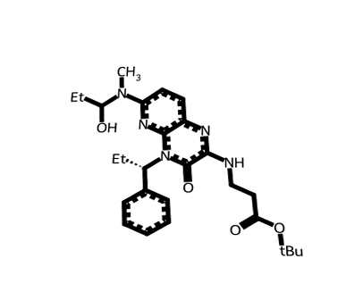 CCC(O)N(C)c1ccc2nc(NCCC(=O)OC(C)(C)C)c(=O)n([C@@H](CC)c3ccccc3)c2n1